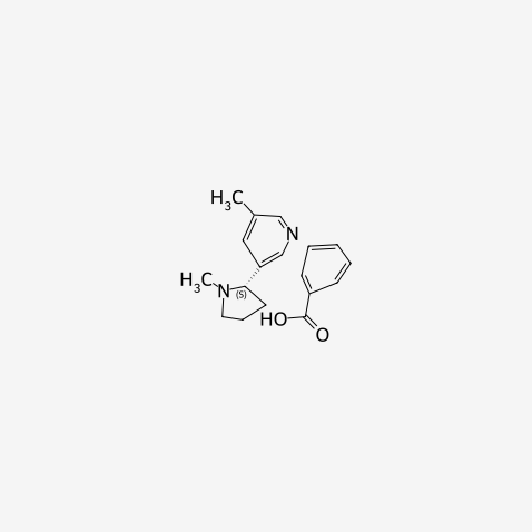 Cc1cncc([C@@H]2CCCN2C)c1.O=C(O)c1ccccc1